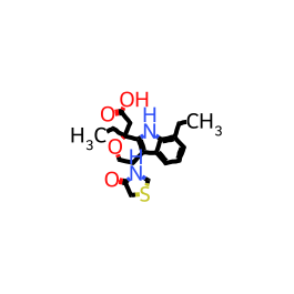 CCc1cccc2c3c([nH]c12)C(CC)(CC(=O)O)OCC3.O=C1CSCN1